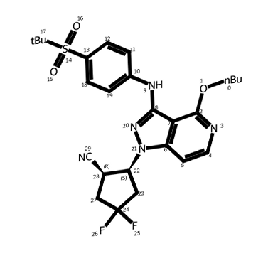 CCCCOc1nccc2c1c(Nc1ccc(S(=O)(=O)C(C)(C)C)cc1)nn2[C@H]1CC(F)(F)C[C@H]1C#N